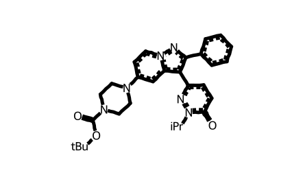 CC(C)n1nc(-c2c(-c3ccccc3)nn3ccc(N4CCN(C(=O)OC(C)(C)C)CC4)cc23)ccc1=O